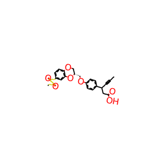 CC#CC(CC(=O)O)c1ccc(OC[C@H]2COc3ccc(S(C)(=O)=O)cc3O2)cc1